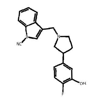 N#CB1C=C(CN2CCC(c3ccc(F)c(O)c3)C2)c2ccccc21